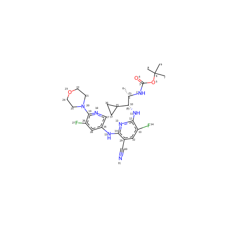 C[C@H](NC(=O)OC(C)(C)C)[C@H](Nc1nc(Nc2cnc(N3CCOCC3)c(F)c2)c(C#N)cc1F)C1CC1